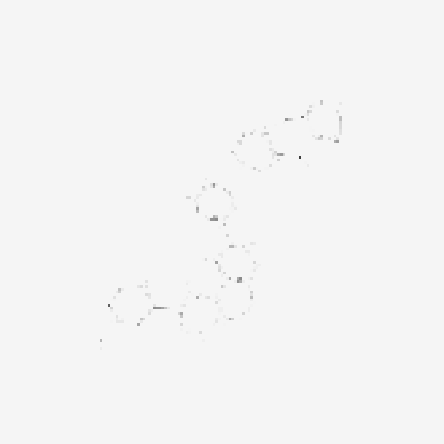 CC1(C)c2ccccc2Sc2ccc(-c3cccc(-c4ccc5ccc6ccc(-c7cccc(C#N)c7)nc6c5n4)c3)cc21